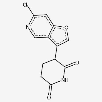 O=C1CCC(c2coc3cc(Cl)ncc23)C(=O)N1